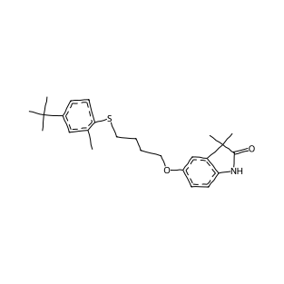 Cc1cc(C(C)(C)C)ccc1SCCCCOc1ccc2c(c1)C(C)(C)C(=O)N2